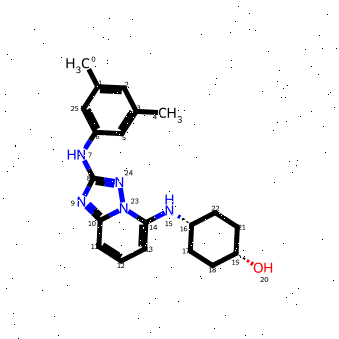 Cc1cc(C)cc(Nc2nc3cccc(N[C@H]4CC[C@@H](O)CC4)n3n2)c1